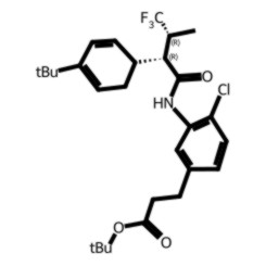 C[C@H]([C@H](C(=O)Nc1cc(CCC(=O)OC(C)(C)C)ccc1Cl)C1C=CC(C(C)(C)C)=CC1)C(F)(F)F